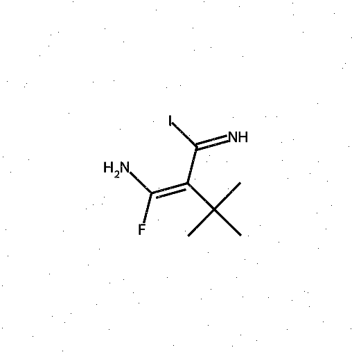 CC(C)(C)/C(C(=N)I)=C(/N)F